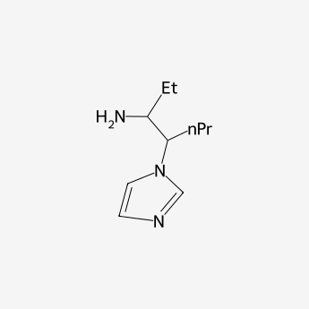 CCCC(C(N)CC)n1ccnc1